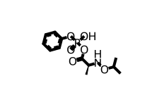 CC(C)ON[C@@H](C)C(=O)OP(=O)(O)Oc1ccccc1